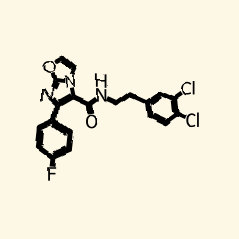 O=C(NCCc1ccc(Cl)c(Cl)c1)c1c(-c2ccc(F)cc2)nc2occn12